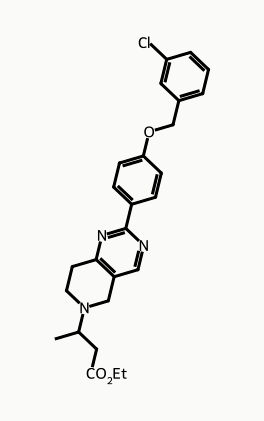 CCOC(=O)CC(C)N1CCc2nc(-c3ccc(OCc4cccc(Cl)c4)cc3)ncc2C1